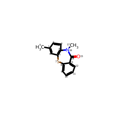 Cc1ccc2c(c1)Sc1ccccc1C(=O)N2C